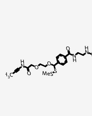 CC#CNC(=O)COCCOC(SSC)c1ccc(C(=O)NCCNC(C)C)cc1